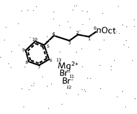 CCCCCCCCCCCCc1ccccc1.[Br-].[Br-].[Mg+2]